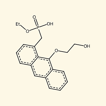 CCOP(=O)(O)Cc1cccc2cc3ccccc3c(OCCO)c12